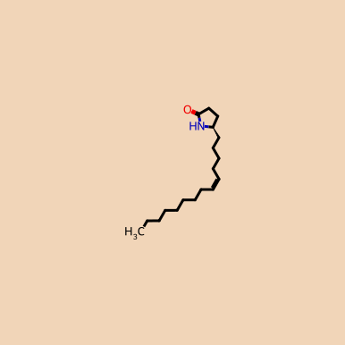 CCCCCCCC/C=C\CCCC[C@@H]1CCC(=O)N1